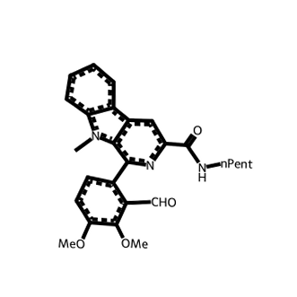 CCCCCNC(=O)c1cc2c3ccccc3n(C)c2c(-c2ccc(OC)c(OC)c2C=O)n1